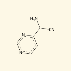 N#CC(N)c1ccncn1